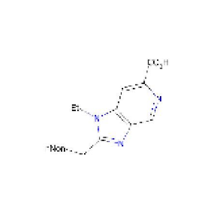 CCCCCCCCCCc1nc2cnc(C(=O)O)cc2n1CC